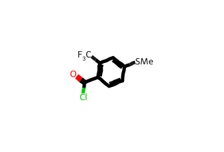 CSc1ccc(C(=O)Cl)c(C(F)(F)F)c1